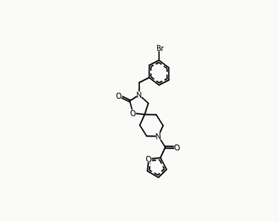 O=C1OC2(CCN(C(=O)c3ccco3)CC2)CN1Cc1cccc(Br)c1